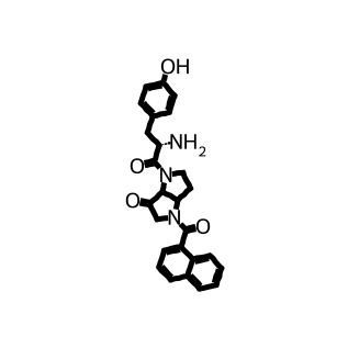 N[C@@H](Cc1ccc(O)cc1)C(=O)N1CCC2C1C(=O)CN2C(=O)c1cccc2ccccc12